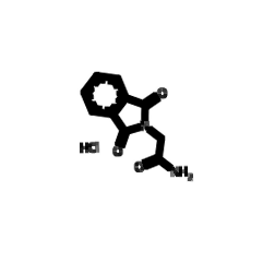 Cl.NC(=O)CN1C(=O)c2ccccc2C1=O